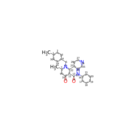 Cc1ccc(Cn2c(C)cc(=O)c(C(=O)Nc3ccccc3)c2-c2ccncc2)cc1